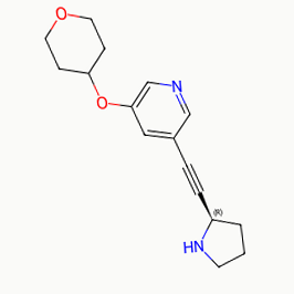 C(#C[C@H]1CCCN1)c1cncc(OC2CCOCC2)c1